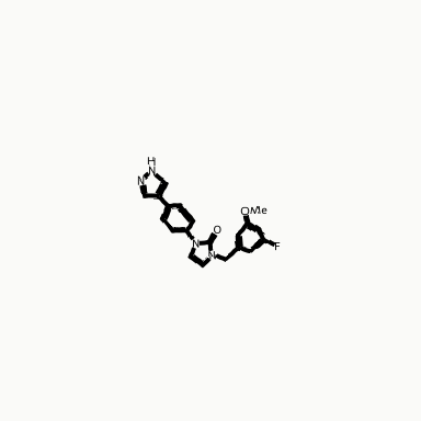 COc1cc(F)cc(Cn2ccn(-c3ccc(-c4cn[nH]c4)cc3)c2=O)c1